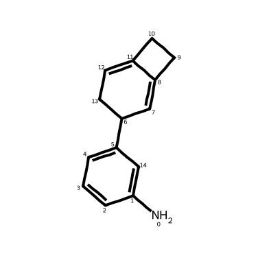 Nc1cccc(C2C=C3CCC3=CC2)c1